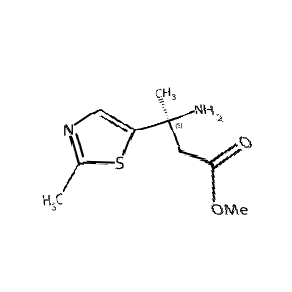 COC(=O)C[C@](C)(N)c1cnc(C)s1